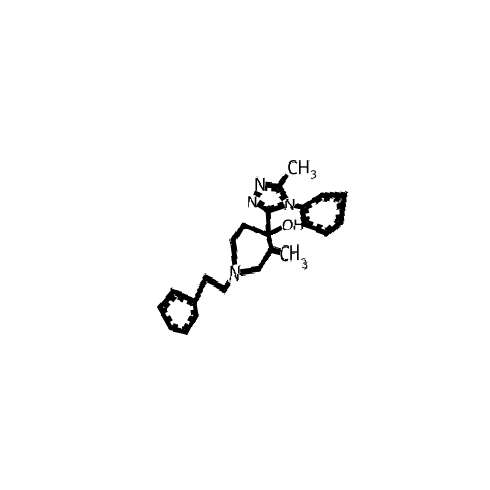 Cc1nnc(C2(O)CCN(CCc3ccccc3)CC2C)n1-c1ccccc1